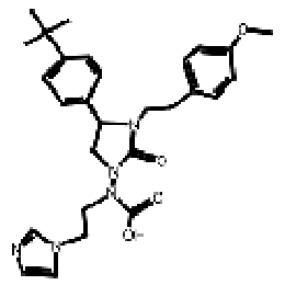 COc1ccc(CCN2C(=O)N(N(CCn3ccnc3)C(=O)O)CC2c2ccc(C(C)(C)C)cc2)cc1